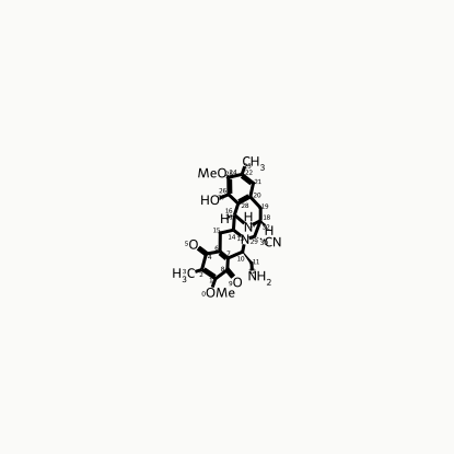 COC1=C(C)C(=O)C2=C(C1=O)[C@H](CN)N1C(C2)[C@@H]2N[C@H](Cc3cc(C)c(OC)c(O)c32)[C@@H]1C#N